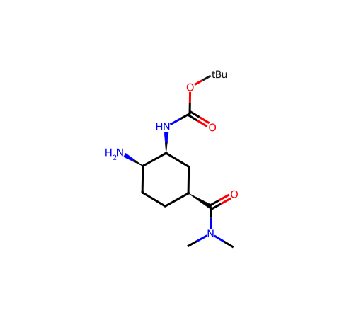 CN(C)C(=O)[C@H]1CC[C@@H](N)[C@@H](NC(=O)OC(C)(C)C)C1